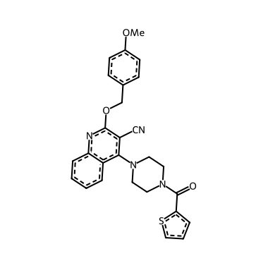 COc1ccc(COc2nc3ccccc3c(N3CCN(C(=O)c4cccs4)CC3)c2C#N)cc1